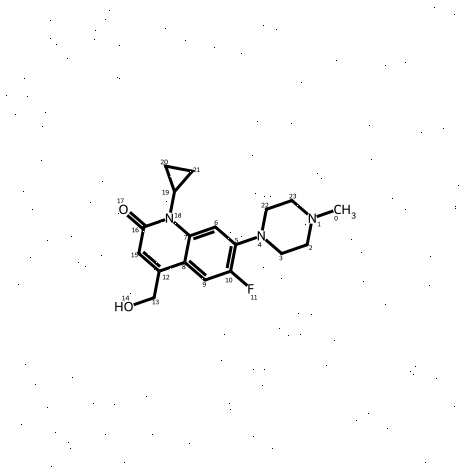 CN1CCN(c2cc3c(cc2F)c(CO)cc(=O)n3C2CC2)CC1